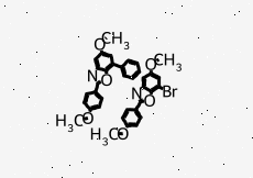 COc1ccc(-c2nc3cc(OC)cc(-c4ccccc4)c3o2)cc1.COc1ccc(-c2nc3cc(OC)cc(Br)c3o2)cc1